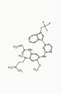 C=CC(=O)Nc1cc(Nc2nccc(-c3cn(CC(F)(F)I)c4ccccc34)n2)c(OC)cc1N(C)CCN(C)C